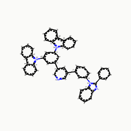 c1ccc(-c2nc3ccccc3n2-c2cccc(-c3cncc(-c4cc(-n5c6ccccc6c6ccccc65)cc(-n5c6ccccc6c6ccccc65)c4)c3)c2)cc1